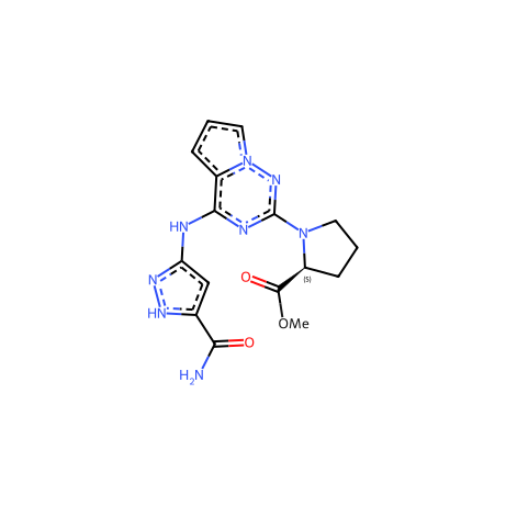 COC(=O)[C@@H]1CCCN1c1nc(Nc2cc(C(N)=O)[nH]n2)c2cccn2n1